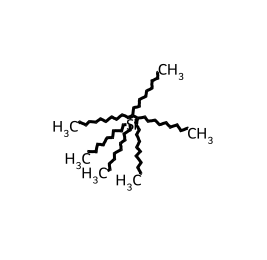 CCCCCCCCCCC1=C(CCCCCCCCCC)[Si](CCCCCCCCCC)(CCCCCCCCCC)C(CCCCCCCCCC)=C1CCCCCCCCCC